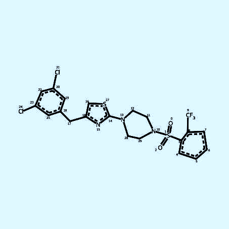 O=S(=O)(c1ccccc1C(F)(F)F)N1CCN(c2nc(Cc3cc(Cl)cc(Cl)c3)cs2)CC1